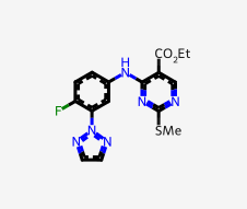 CCOC(=O)c1cnc(SC)nc1Nc1ccc(F)c(-n2nccn2)c1